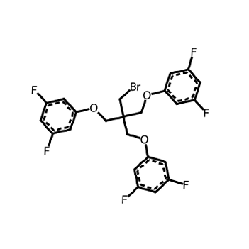 Fc1cc(F)cc(OCC(CBr)(COc2cc(F)cc(F)c2)COc2cc(F)cc(F)c2)c1